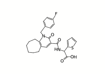 O=C(NC(C(=O)O)c1cccs1)c1cc2c(n(Cc3ccc(F)cc3)c1=O)CCCCCC2